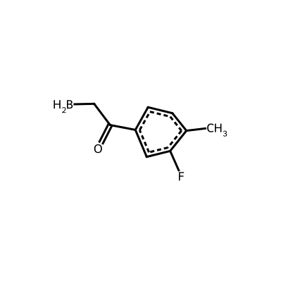 BCC(=O)c1ccc(C)c(F)c1